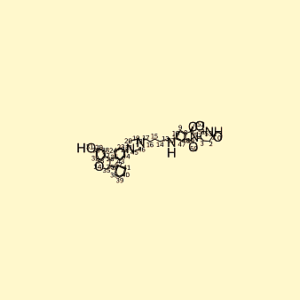 O=C1CCC(N2C(=O)c3ccc(NCCCCCN4CCN(c5ccc([C@@H]6c7ccc(O)cc7OCC6c6ccccc6)cc5)CC4)cc3C2=O)C(=O)N1